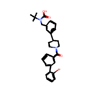 CC(C)(C)N(Cc1cccc(C2CCN(C(=O)c3cccc(-c4ccccc4Br)c3)CC2)c1)C(=O)O